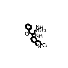 NNCc1[nH]c2c(ccc3cnc(Cl)cc32)c1C(=O)c1ccccc1